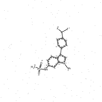 CC(C)n1cc(-c2ccc(C(F)F)cc2)c2ccc(NS(C)(=O)=O)cc21